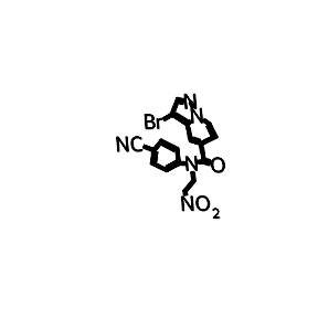 N#Cc1ccc(N(CC[N+](=O)[O-])C(=O)c2ccn3ncc(Br)c3c2)cc1